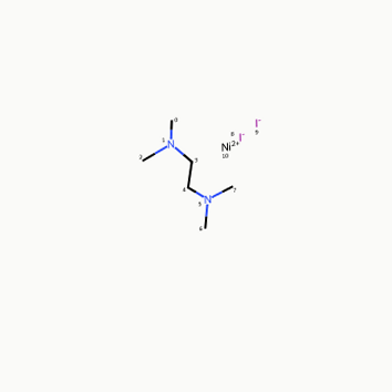 CN(C)CCN(C)C.[I-].[I-].[Ni+2]